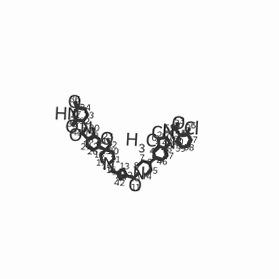 CC1(C)c2cc(C3CCN(C(=O)C45CC(CN6CCC7(CC6)COc6c7ccc7c6CN([C@H]6CCC(=O)NC6=O)C7=O)(C4)C5)CC3)ccc2-n2c1nc(=O)c1c(Cl)cccc12